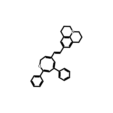 C1=C(/C=C/c2cc3c4c(c2)CCCN4CCC3)/C=C(c2ccccc2)\C=C(\c2ccccc2)OC1